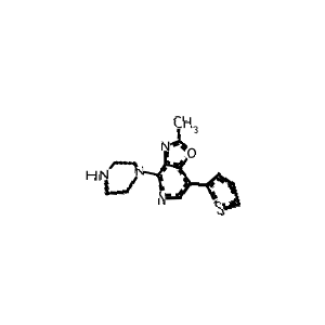 Cc1nc2c(N3CCNCC3)ncc(-c3cccs3)c2o1